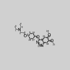 CCN(CC)CCOc1ccc(Oc2ncnc3cc(OC)c(OC)cc23)cc1